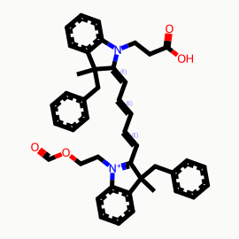 CC1(Cc2ccccc2)C(/C=C/C=C/C=C2/N(CCC(=O)O)c3ccccc3C2(C)Cc2ccccc2)=[N+](CCOC=O)c2ccccc21